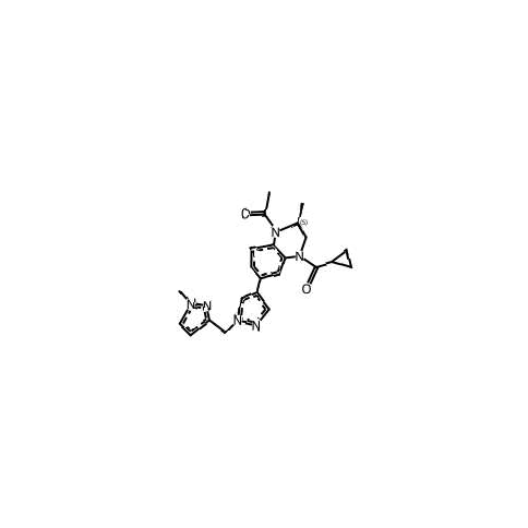 CC(=O)N1c2ccc(-c3cnn(Cc4ccn(C)n4)c3)cc2N(C(=O)C2CC2)C[C@@H]1C